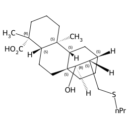 CCCSC[C@H]1[C@H]2CC[C@@]3(CC[C@H]4[C@@](C)(CCC[C@@]4(C)C(=O)O)[C@@H]3C2)[C@@H]1O